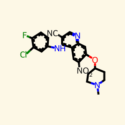 CN1CCC(Oc2cc3ncc(C#N)c(Nc4ccc(F)c(Cl)c4)c3cc2[N+](=O)[O-])CC1